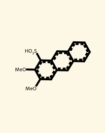 COc1cc2cc3ccccc3cc2c(S(=O)(=O)O)c1OC